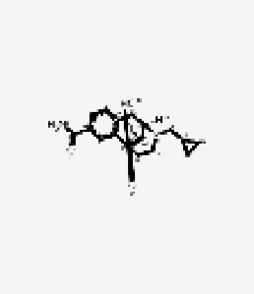 Cl.NC(=O)c1ccc2c(c1)[C@]13CCN(CC4CC4)[C@H](C2)[C@@H]1CCC(=O)C3